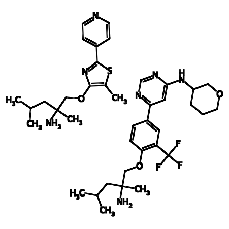 CC(C)CC(C)(N)COc1ccc(-c2cc(NC3CCCOC3)ncn2)cc1C(F)(F)F.Cc1sc(-c2ccncc2)nc1OCC(C)(N)CC(C)C